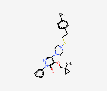 Cc1ccc(CCSN2CCN(c3cnn(-c4ccccc4)c(=O)c3OCC3(C)CC3)CC2)cc1